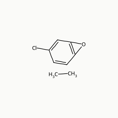 CC.Clc1ccc2c(c1)O2